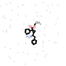 CCOC(=O)C1(c2ccccc2)CC1C(N)Cc1ccccc1